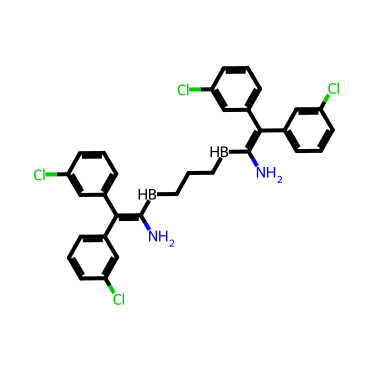 NC(BCCCBC(N)=C(c1cccc(Cl)c1)c1cccc(Cl)c1)=C(c1cccc(Cl)c1)c1cccc(Cl)c1